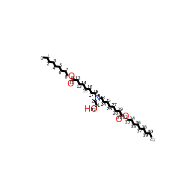 CCCCCCCCCOC(=O)CCCCCCCN(CCO)CCCCCCCC(=O)OCCCCCCCCC